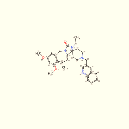 CCN1C(=O)N2Cc3cc(OC)cc(OC)c3[C@@H](C)C=C2C12CCN(Cc1cnc3ccccc3c1)CC2